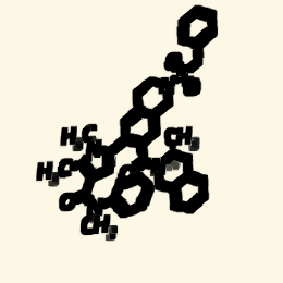 Cc1c(C(=O)N(C)c2ccccc2)cc(-c2cc3c(cc2C(=O)N2Cc4ccccc4C[C@H]2C)CN(S(=O)(=O)Cc2ccccc2)CC3)n1C